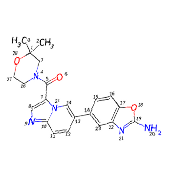 CC1(C)CN(C(=O)c2cnc3ccc(-c4ccc5oc(N)nc5c4)cn23)CCO1